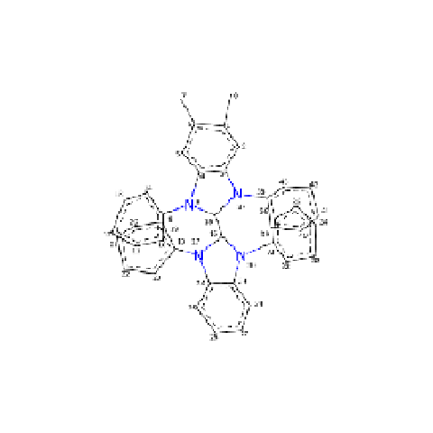 Cc1cc2c(cc1C)N(c1ccccc1)C(C1N(c3ccccc3)c3ccccc3N1c1ccccc1)N2c1ccccc1